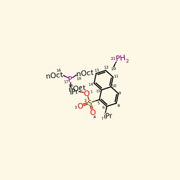 CC(C)OS(=O)(=O)c1c(C(C)C)ccc2ccccc12.CCCCCCCCP(CCCCCCCC)CCCCCCCC.CP